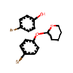 Brc1ccc(OC2CCCCO2)cc1.Oc1ccc(Br)cc1